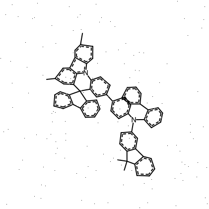 Cc1ccc2c(c1)c1cc(C)cc3c1n2-c1ccc(-c2ccc(N(c4ccc5c(c4)-c4ccccc4C5(C)C)c4ccccc4-c4ccccc4)cc2)cc1C31c2ccccc2-c2ccccc21